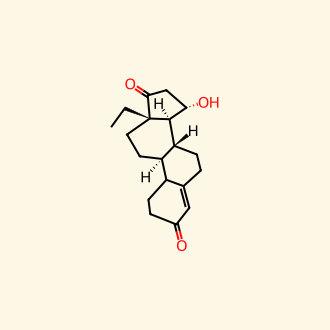 CC[C@]12CC[C@@H]3C4CCC(=O)C=C4CC[C@H]3[C@@H]1[C@@H](O)CC2=O